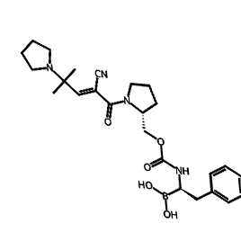 CC(C)(/C=C(\C#N)C(=O)N1CCC[C@@H]1COC(=O)N[C@@H](Cc1ccccc1)B(O)O)N1CCCC1